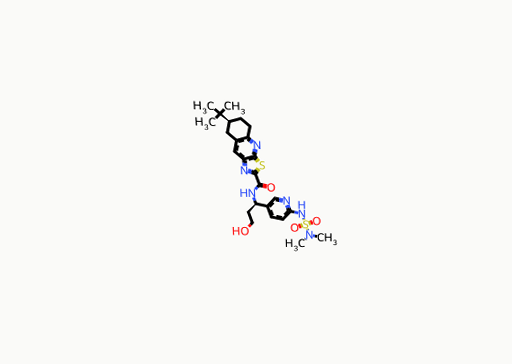 CN(C)S(=O)(=O)Nc1ccc([C@@H](CCO)NC(=O)c2nc3cc4c(nc3s2)CC[C@H](C(C)(C)C)C4)cn1